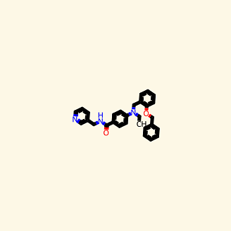 CCN(Cc1ccccc1OCc1ccccc1)c1ccc(C(=O)NCc2cccnc2)cc1